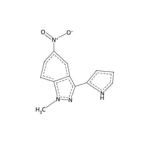 Cn1nc(-c2ccc[nH]2)c2cc([N+](=O)[O-])ccc21